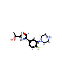 CC(O)c1nc(-c2ccc(F)c(N3CCNCC3)c2)co1